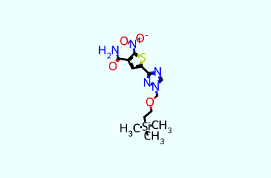 C[Si](C)(C)CCOCn1cnc(-c2cc(C(N)=O)c([N+](=O)[O-])s2)n1